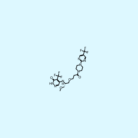 COC[C@@H](COCCC(=O)N1CCN(c2ncc(C(F)(F)F)cn2)CC1)Nc1cn[nH]c(=O)c1C(F)(F)F